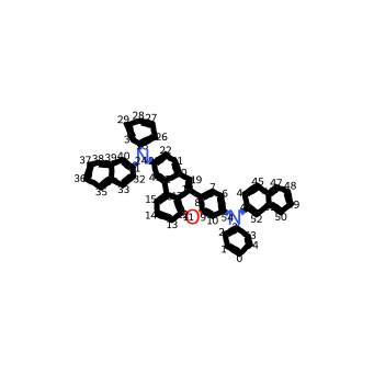 c1ccc(N(c2ccc3c(c2)Oc2cccc4c2c-3cc2ccc(N(c3ccccc3)c3ccc5ccccc5c3)cc24)c2ccc3ccccc3c2)cc1